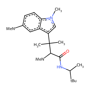 CNc1ccc2c(c1)c(C(C)(C)C(NC)C(=O)NC(C)C(C)(C)C)cn2C